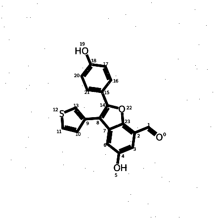 O=Cc1cc(O)cc2c(-c3ccsc3)c(-c3ccc(O)cc3)oc12